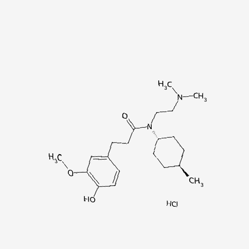 COc1cc(CCC(=O)N(CCN(C)C)[C@H]2CC[C@H](C)CC2)ccc1O.Cl